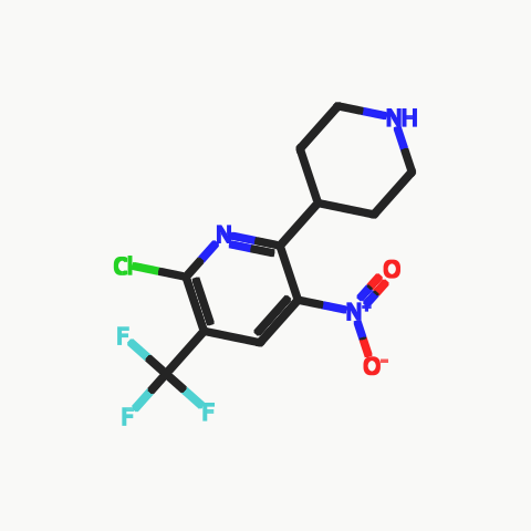 O=[N+]([O-])c1cc(C(F)(F)F)c(Cl)nc1C1CCNCC1